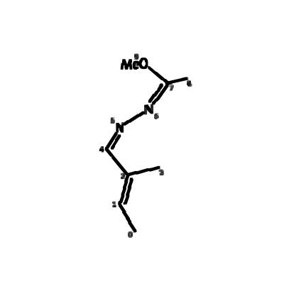 C/C=C(C)/C=N\N=C(\C)OC